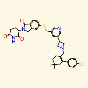 CC1(C)CCC(CN2CC(c3cncc(CSc4ccc5c(c4)CN(C4CCC(=O)NC4=O)C5=O)c3)C2)=C(c2ccc(Cl)cc2)C1